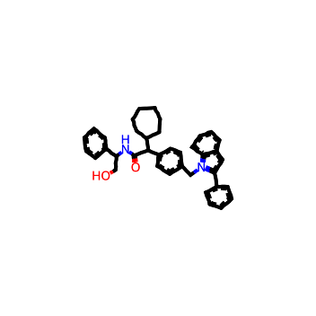 O=C(NC(CO)c1ccccc1)C(c1ccc(Cn2c(-c3ccccc3)cc3ccccc32)cc1)C1CCCCCC1